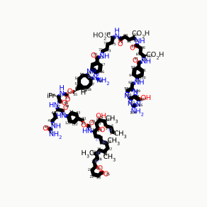 C/C=C/C1OC([C@@H](/C=C/C=C(\C)C[C@@H](C)/C=C(C)\C=C\C2CC=CC(=O)O2)NC(=O)OCc2ccc(NC(=O)[C@H](CCCNC(N)=O)NC(=O)[C@@H](NC(=O)OC[C@@H]3C4CC/C(N)=C(/N(N)c5ccc(C(=O)NCCCC[C@H](NC(=O)CC[C@H](NC(=O)CC[C@H](NC(=O)c6ccc(NCc7cnc8nc(N)nc(O)c8n7)cc6)C(=O)O)C(=O)O)C(=O)O)cc5)CC[C@@H]43)C(C)C)cc2)C[C@@H](O)[C@@H]1C